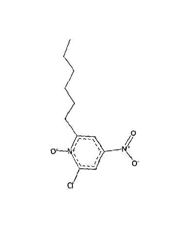 CCCCCCc1cc([N+](=O)[O-])cc(Cl)[n+]1[O-]